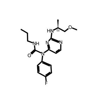 CCCNC(=O)N(c1ccc(F)cc1)c1ccnc(N[C@@H](C)COC)n1